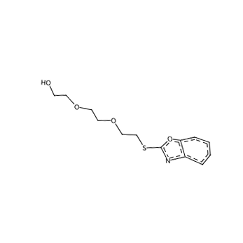 OCCOCCOCCSc1nc2ccccc2o1